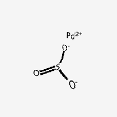 O=S([O-])[O-].[Pd+2]